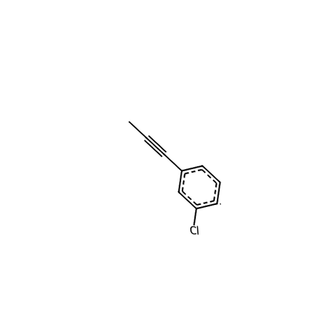 CC#Cc1cc[c]c(Cl)c1